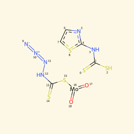 S=C(S)Nc1nccs1.[N-]=[N+]=NNC(=S)[S][Mo](=[O])=[O]